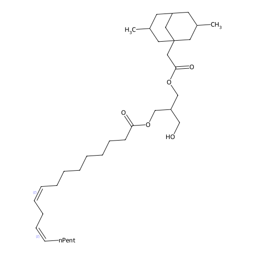 CCCCC/C=C\C/C=C\CCCCCCCC(=O)OCC(CO)COC(=O)CC12CC(C)CC(CC(C)C1)C2